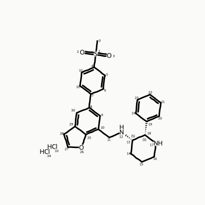 CS(=O)(=O)c1ccc(-c2cc(CN[C@H]3CCCN[C@H]3c3ccccc3)c3occc3c2)cc1.Cl.Cl